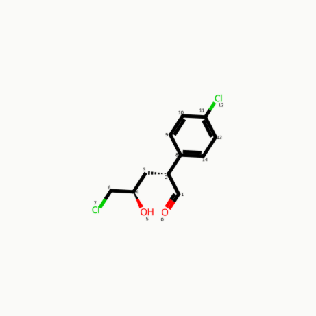 O=C[C@H](C[C@@H](O)CCl)c1ccc(Cl)cc1